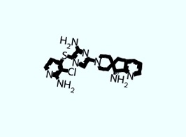 Nc1nc(N2CCC3(CC2)Cc2cccnc2[C@H]3N)cnc1Sc1ccnc(N)c1Cl